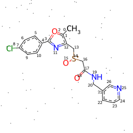 Cc1oc(-c2ccc(Cl)cc2)nc1C[S+]([O-])CC(=O)NCc1cccnc1